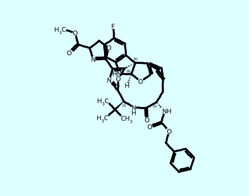 COC(=O)C1COC(c2nc3oc2[C@@]24c5cc(F)ccc5N[C@@H]2Oc2ccc(cc24)C[C@H](NC(=O)OCc2ccccc2)C(=O)N[C@H]3C(C)(C)C)=N1